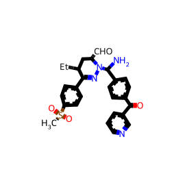 CCC1CC(C=O)N(C(N)c2ccc(C(=O)c3cccnc3)cc2)N=C1c1ccc(S(C)(=O)=O)cc1